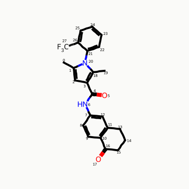 Cc1cc(C(=O)Nc2ccc3c(c2)CCCC3=O)c(C)n1-c1ccccc1C(F)(F)F